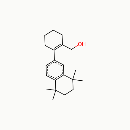 CC1(C)CCC(C)(C)c2cc(C3=C(CO)CCCC3)ccc21